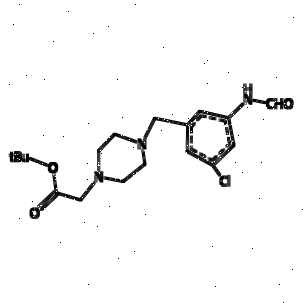 CC(C)(C)OC(=O)CN1CCN(Cc2cc(Cl)cc(NC=O)c2)CC1